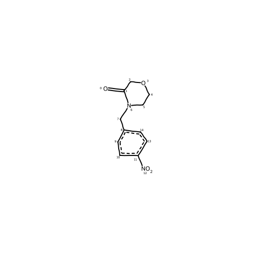 O=C1COCCN1Cc1ccc([N+](=O)[O-])cc1